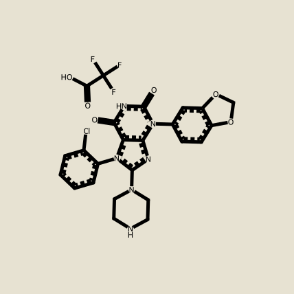 O=C(O)C(F)(F)F.O=c1[nH]c(=O)n(-c2ccc3c(c2)OCO3)c2nc(N3CCNCC3)n(-c3ccccc3Cl)c12